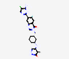 Nc1nc(-c2cc3ncn(C[C@@H]4CCC[C@H](Nc5cn[nH]c(=O)c5C(F)(F)F)C4)c(=O)c3cc2F)ncc1Cl